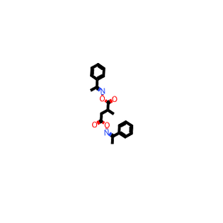 CC(=NOC(=O)CC(C)C(=O)ON=C(C)c1ccccc1)c1ccccc1